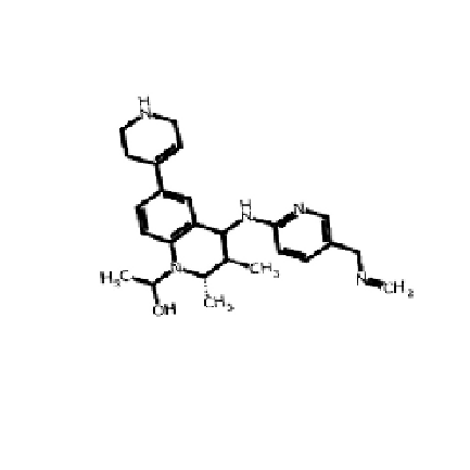 C=NCc1ccc(NC2c3cc(C4=CCNCC4)ccc3N(C(C)O)[C@@H](C)[C@@H]2C)nc1